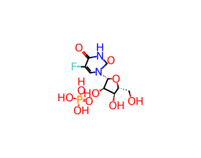 O=P(O)(O)O.O=c1[nH]c(=O)n([C@@H]2O[C@H](CO)[C@@H](O)[C@H]2O)cc1F